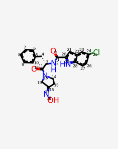 O=C(N[C@@H](Cc1ccccc1)C(=O)N1CCC(=NO)C1)c1cc2cc(Cl)ccc2[nH]1